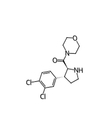 O=C([C@H]1NCC[C@@H]1c1ccc(Cl)c(Cl)c1)N1CCOCC1